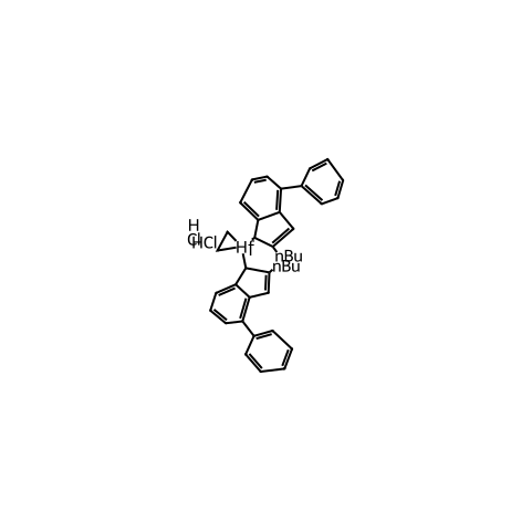 CCCCC1=Cc2c(-c3ccccc3)cccc2[CH]1[Hf]1([CH]2C(CCCC)=Cc3c(-c4ccccc4)cccc32)[CH2][CH2]1.Cl.Cl